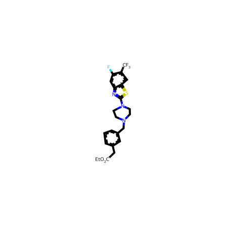 CCOC(=O)Cc1cccc(CN2CCN(c3nc4cc(F)c(C(F)(F)F)cc4s3)CC2)c1